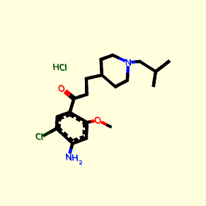 COc1cc(N)c(Cl)cc1C(=O)CCC1CCN(CC(C)C)CC1.Cl